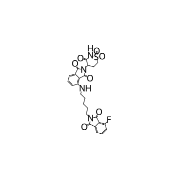 O=C1NS(=O)(=O)CCC1N1C(=O)c2cccc(NCCCCCN3C(=O)c4cccc(F)c4C3=O)c2C1=O